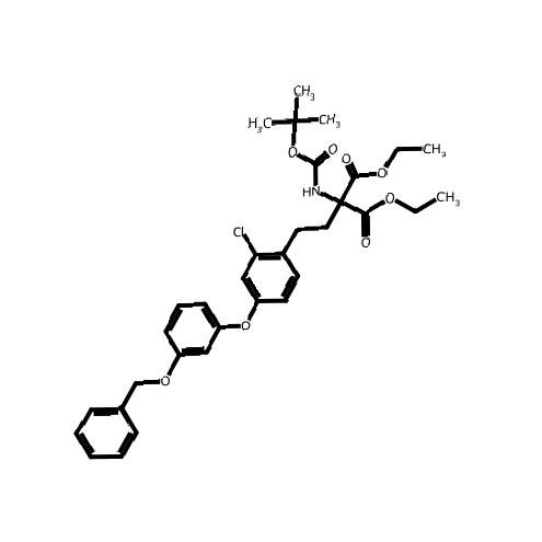 CCOC(=O)C(CCc1ccc(Oc2cccc(OCc3ccccc3)c2)cc1Cl)(NC(=O)OC(C)(C)C)C(=O)OCC